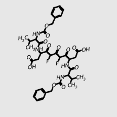 CC(C)C(NC(=O)OCc1ccccc1)C(=O)NC(CC(=O)O)C(=O)C(F)C(=O)C(F)C(=O)C(CC(=O)O)NC(=O)C(NC(=O)OCc1ccccc1)C(C)C